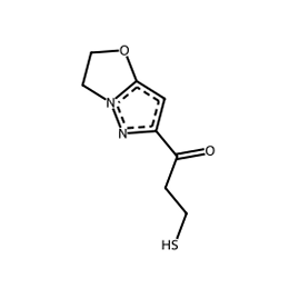 O=C(CCS)c1cc2n(n1)CCO2